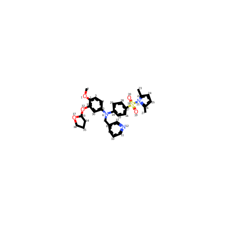 COc1ccc(N(Cc2cccnc2)c2ccc(S(=O)(=O)n3c(C)ccc3C)cc2)cc1OC1CCCO1